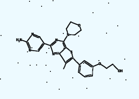 Cc1c(-c2cccc(OCCO)c2)sc2c(N3CCOCC3)nc(-c3cnc(N)nc3)nc12